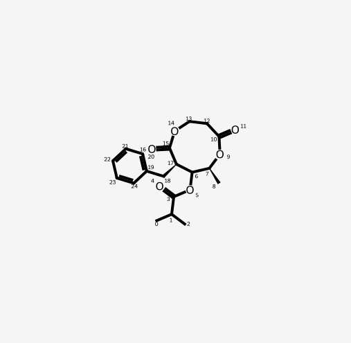 CC(C)C(=O)OC1[C@H](C)OC(=O)CCOC(=O)[C@@H]1Cc1ccccc1